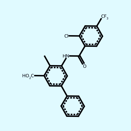 Cc1c(NC(=O)c2ccc(C(F)(F)F)cc2Cl)cc(-c2ccccc2)cc1C(=O)O